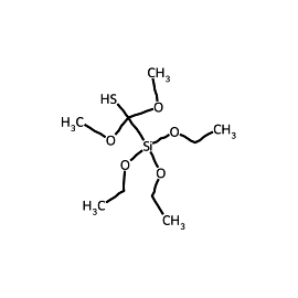 CCO[Si](OCC)(OCC)C(S)(OC)OC